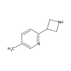 Cc1ccc(C2CNC2)nc1